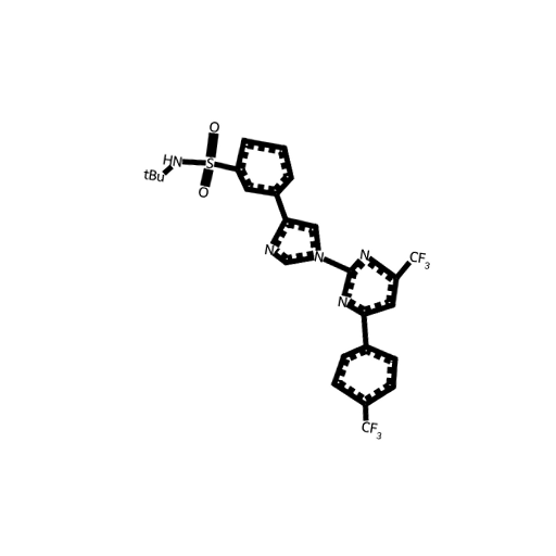 CC(C)(C)NS(=O)(=O)c1cccc(-c2cn(-c3nc(-c4ccc(C(F)(F)F)cc4)cc(C(F)(F)F)n3)cn2)c1